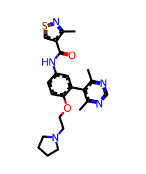 Cc1nscc1C(=O)Nc1ccc(OCCN2CCCC2)c(-c2c(C)ncnc2C)c1